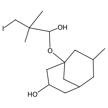 CC1CC2CC(O)CC(OC(O)C(C)(C)CI)(C1)C2